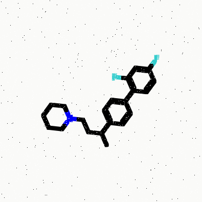 CC(CCN1CCCCC1)c1ccc(-c2ccc(F)cc2F)cc1